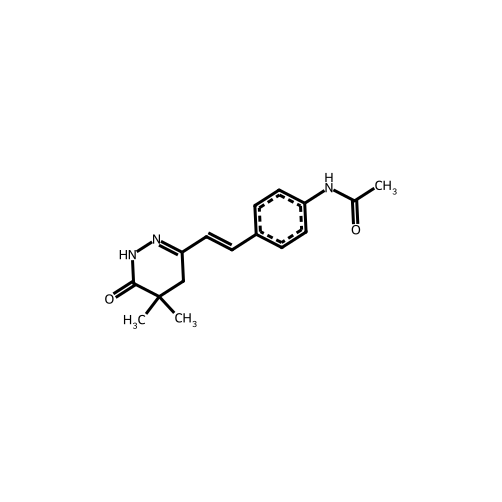 CC(=O)Nc1ccc(/C=C/C2=NNC(=O)C(C)(C)C2)cc1